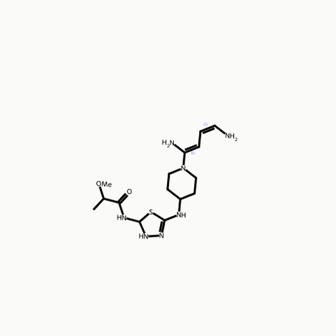 COC(C)C(=O)NC1NN=C(NC2CCN(/C(N)=C/C=C\N)CC2)S1